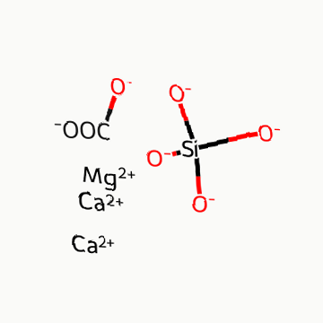 O=C([O-])[O-].[Ca+2].[Ca+2].[Mg+2].[O-][Si]([O-])([O-])[O-]